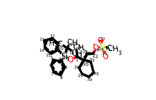 CC(O[Si](c1ccccc1)(c1ccccc1)C(C)(C)C)C1(CCOS(C)(=O)=O)CCCCC1